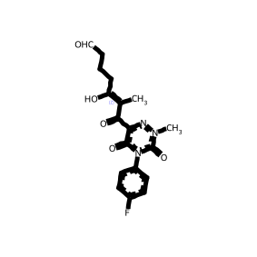 C/C(C(=O)c1nn(C)c(=O)n(-c2ccc(F)cc2)c1=O)=C(/O)CCCC=O